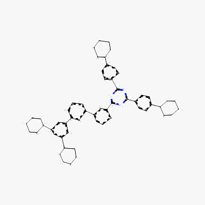 c1cc(-c2cccc(-c3nc(-c4ccc(C5CCCCC5)cc4)nc(-c4ccc(C5CCCCC5)cc4)n3)c2)cc(-c2cc(C3CCCCC3)cc(C3CCCCC3)c2)c1